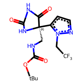 CC(C)(C)OC(=O)NC[C@]1(c2ccnn2CC(F)(F)F)NC(=O)NC1=O